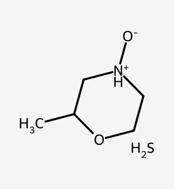 CC1C[NH+]([O-])CCO1.S